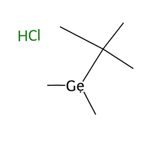 Cl.[CH3][Ge]([CH3])[C](C)(C)C